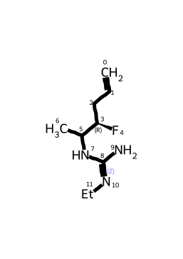 C=CC[C@@H](F)C(C)N/C(N)=N\CC